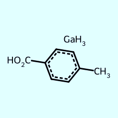 Cc1ccc(C(=O)O)cc1.[GaH3]